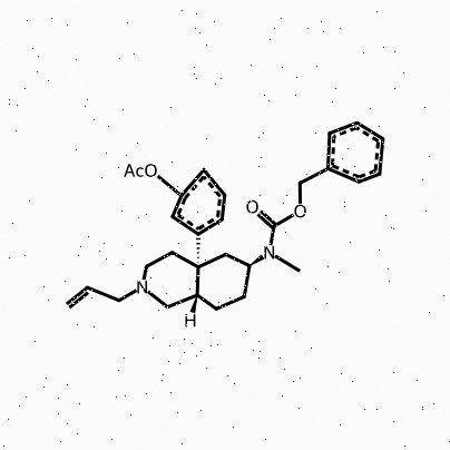 C=CCN1CC[C@@]2(c3cccc(OC(C)=O)c3)C[C@@H](N(C)C(=O)OCc3ccccc3)CC[C@@H]2C1